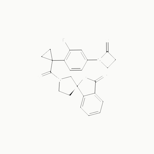 O=C1O[C@]2(CCN(C(=O)C3(c4ccc(N5CCC5=O)cc4F)CC3)C2)c2ccccc21